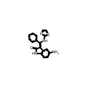 Nc1ccc2c(c1)C(=C(Nc1nccs1)c1ccccc1)C(=O)N2